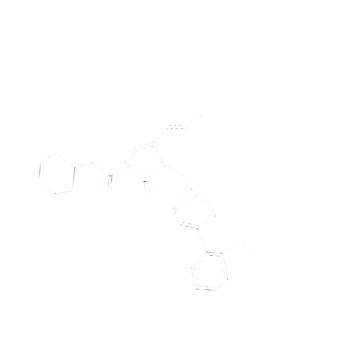 CCC=Cc1cn(C(=O)CC2CCCCC2)c(=O)n1Cc1ccc(-c2ccccc2C(=O)O)cc1